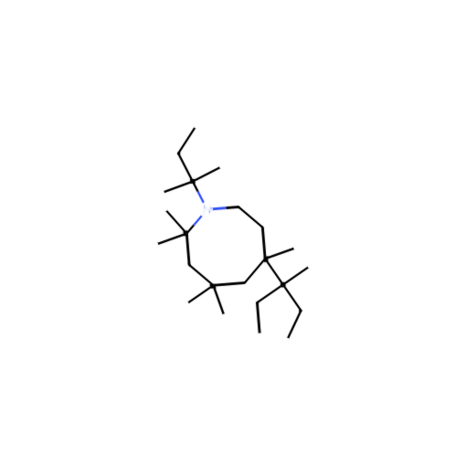 CCC(C)(C)N1CCC(C)(C(C)(CC)CC)CC(C)(C)CC1(C)C